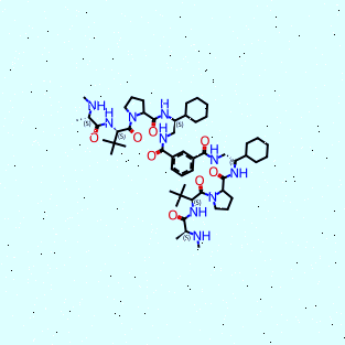 CN[C@@H](C)C(=O)N[C@H](C(=O)N1CCCC1C(=O)N[C@H](CNC(=O)c1cccc(C(=O)NC[C@@H](NC(=O)C2CCCN2C(=O)[C@@H](NC(=O)[C@H](C)NC)C(C)(C)C)C2CCCCC2)c1)C1CCCCC1)C(C)(C)C